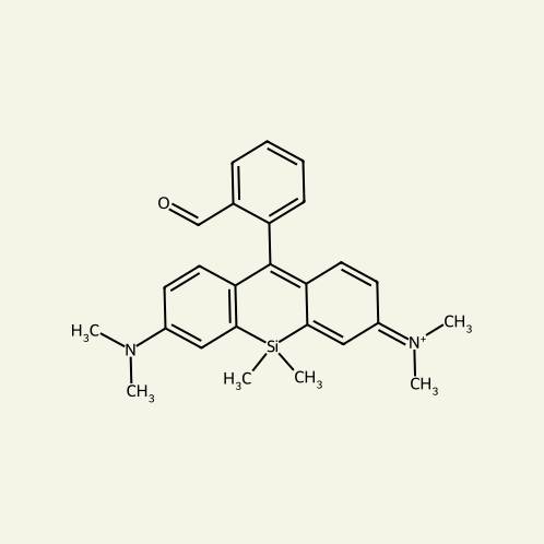 CN(C)c1ccc2c(c1)[Si](C)(C)C1=CC(=[N+](C)C)C=CC1=C2c1ccccc1C=O